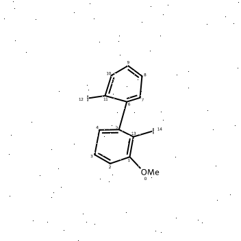 COc1cccc(-c2ccccc2I)c1I